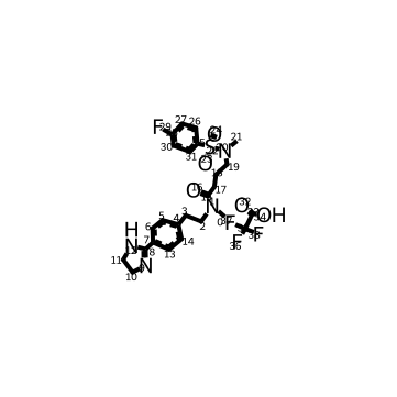 CN(CCc1ccc(C2=NCCN2)cc1)C(=O)CCCN(C)S(=O)(=O)c1ccc(F)cc1.O=C(O)C(F)(F)F